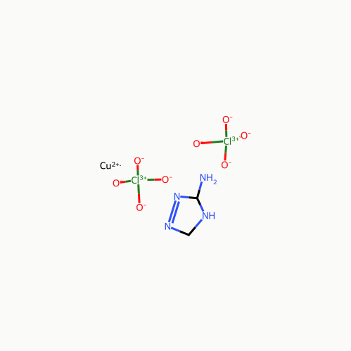 NC1N=NCN1.[Cu+2].[O-][Cl+3]([O-])([O-])[O-].[O-][Cl+3]([O-])([O-])[O-]